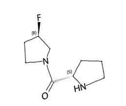 O=C([C@@H]1CCCN1)N1CC[C@@H](F)C1